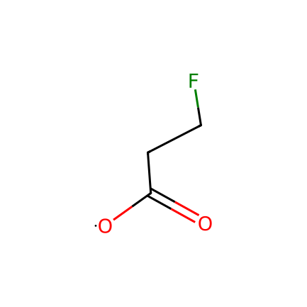 [O]C(=O)CCF